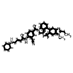 CCc1nc2cc(-c3cccc4c3CCN4C(=O)c3ccc(NC(=O)/C=C/CNC4CCCCC4)c(C#N)c3)c(C(F)(F)F)cc2n1C